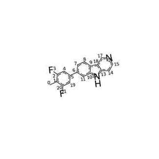 Cc1c(F)cc(-c2ccc3c(c2)[nH]c2ccncc23)cc1F